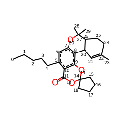 CCCCCc1cc2c(c3c1C(=O)OC1(CCCC1)O3)C1C=C(C)CCC1C(C)(C)O2